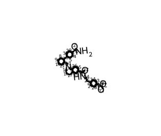 NC(=O)c1ccc(-c2ccccc2CN2CCCc3cc(C(=O)NCCc4ccc([N+](=O)[O-])cc4)ccc32)cc1